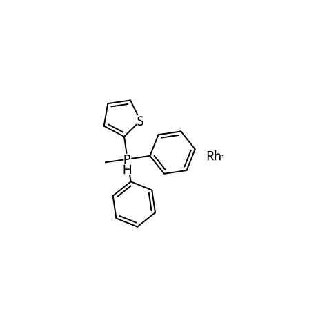 C[PH](c1ccccc1)(c1ccccc1)c1cccs1.[Rh]